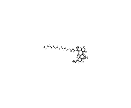 CCCCCCCCCCCCCCCC(=O)Nc1ccccc1C(=O)Nc1cc(O)ccc1O